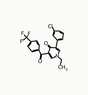 CCn1cc(C(=O)c2ccc(C(F)(F)F)cc2)c(=O)c(-c2cccc(Cl)c2)c1